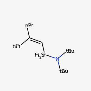 CCCC(=C[SiH2]N(C(C)(C)C)C(C)(C)C)CCC